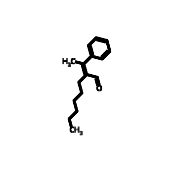 CCCCCCC(C=O)=C(C)c1ccccc1